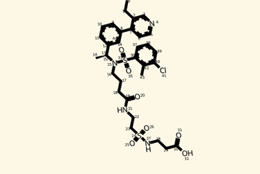 CCc1cnccc1-c1cccc([C@H](C)N(CCCC(=O)NCCS(=O)(=O)NCCC(=O)O)S(=O)(=O)c2cccc(Cl)c2C)c1